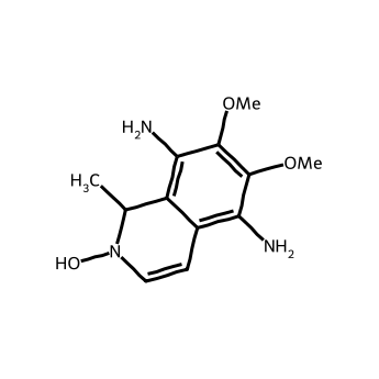 COc1c(N)c2c(c(N)c1OC)C(C)N(O)C=C2